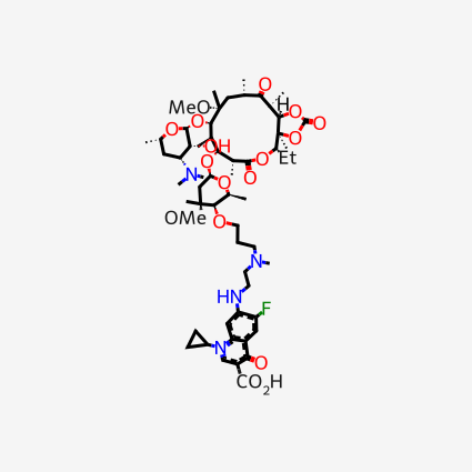 CC[C@@H]1OC(=O)[C@H](C)[C@H](O[C@@H]2C[C@](C)(OC)[C@H](OCCCN(C)CCNc3cc4c(cc3F)c(=O)c(C(=O)O)cn4C3CC3)[C@H](C)O2)[C@@H](C)[C@H](O[C@H]2O[C@@H](C)C[C@@H](N(C)C)[C@H]2O)[C@](C)(OC)C[C@H](C)C(=O)[C@H](C)[C@H]2OC(=O)O[C@@]12C